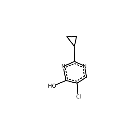 Oc1nc(C2CC2)ncc1Cl